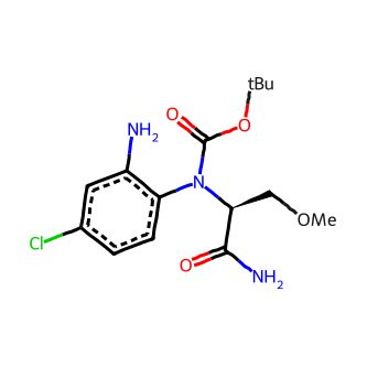 COC[C@@H](C(N)=O)N(C(=O)OC(C)(C)C)c1ccc(Cl)cc1N